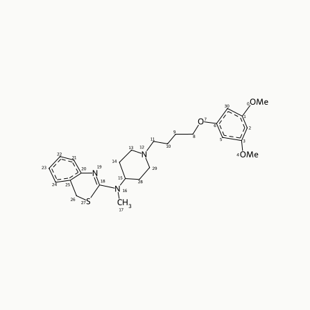 COc1cc(OC)cc(OCCCCN2CCC(N(C)C3=Nc4ccccc4CS3)CC2)c1